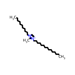 CCCCCCCCCCCCCCC[n+]1ccn(CCCCCCCCCCC)c1C